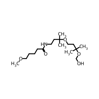 COCCCCC(=O)NCCC(C)(C)OCCC(C)(C)OCO